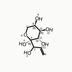 C=CC(O)[C@@]1(O)OC[C@@H](O)[C@@H](O)[C@@H]1O